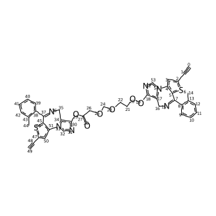 C#Cc1cc2c(s1)C(c1ccccc1C)=NCc1c(OOCCOCOCC(=O)Oc3ncn4c3CN=C(c3ccccc3C)c3sc(C#C)cc3-4)ncn1-2